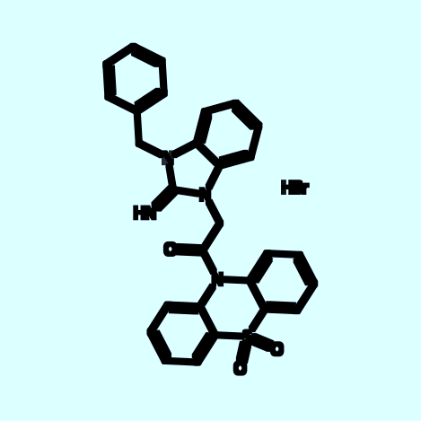 Br.N=c1n(CC(=O)N2c3ccccc3S(=O)(=O)c3ccccc32)c2ccccc2n1Cc1ccccc1